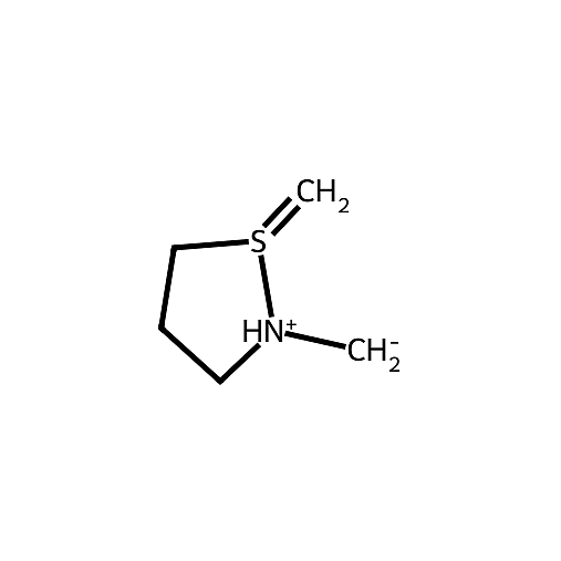 C=S1CCC[NH+]1[CH2-]